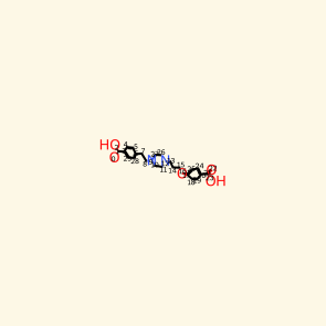 O=C(O)c1ccc(CCN2CCN(CCCOc3ccc(C(=O)O)cc3)CC2)cc1